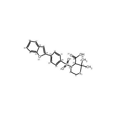 CC1(C)SCCN(S(=O)(=O)c2ccc(-c3cc4ccccc4o3)cc2)C1C(=O)O